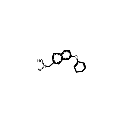 CC(=O)N(O)Cc1ccc2ccc(OC3=CCCC=C3)cc2c1